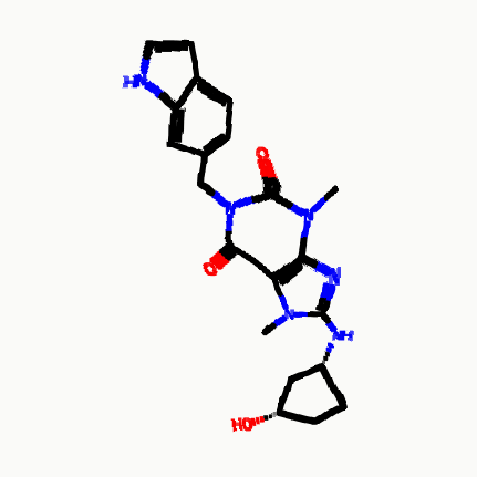 Cn1c(N[C@@H]2CC[C@H](O)C2)nc2c1c(=O)n(Cc1ccc3cc[nH]c3c1)c(=O)n2C